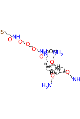 CCCCCCCCN(CCC[C@@H](C)[C@H]1CC[C@H]2C3[C@H](OCCCN)CC4C[C@H](OCCCN)CC[C@]4(C)[C@H]3C[C@H](OCCCN)[C@]12C)C(=O)NCCOCCOCCOCCNC(=O)CCCS